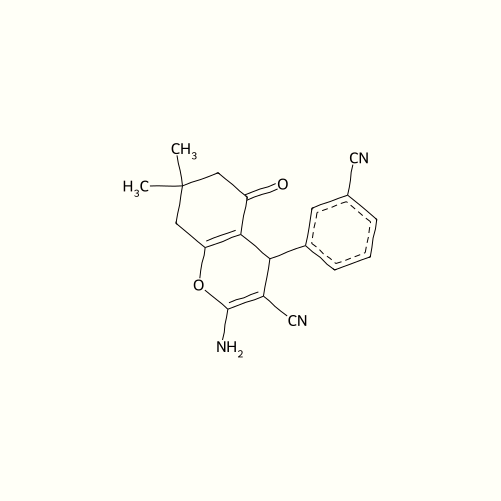 CC1(C)CC(=O)C2=C(C1)OC(N)=C(C#N)C2c1cccc(C#N)c1